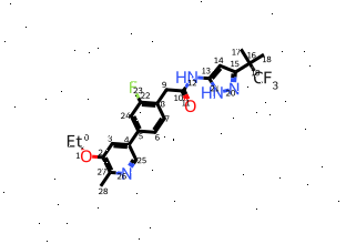 CCOc1cc(-c2ccc(CC(=O)Nc3cc(C(C)(C)C(F)(F)F)n[nH]3)c(F)c2)cnc1C